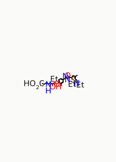 CCc1cc(-c2noc(-c3cc(C)c(CN(CC)CC)s3)n2)cc(C)c1OCC(O)CNCCC(=O)O